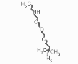 CCCNCCOCCOCCOCCCC(C)(C)C